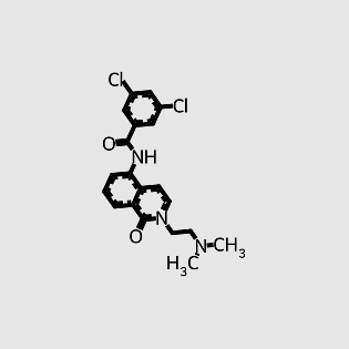 CN(C)CCn1ccc2c(NC(=O)c3cc(Cl)cc(Cl)c3)cccc2c1=O